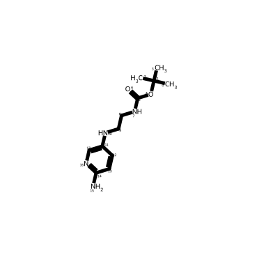 CC(C)(C)OC(=O)NCCNc1ccc(N)nc1